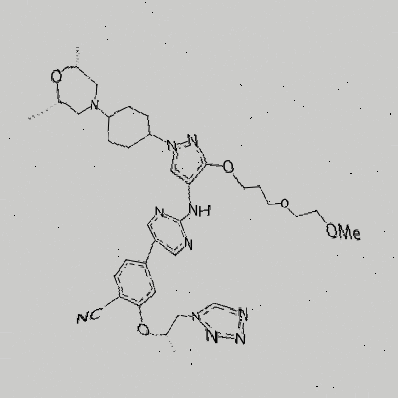 COCCOCCCOc1nn(C2CCC(N3C[C@@H](C)O[C@@H](C)C3)CC2)cc1Nc1ncc(-c2ccc(C#N)c(O[C@@H](C)Cn3cnnn3)c2)cn1